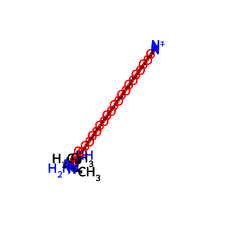 CCCCc1nc2c(N)nnc(OC(C)C)c2n1Cc1ccc(CNC(=O)OCCOCCOCCOCCOCCOCCOCCOCCOCCOCCOCCOCCOCCOCCOCCOCCOCCOCCOCCOCCN=[N+]=[N-])cc1